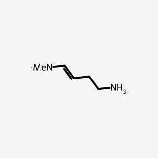 C[N]C=CCCN